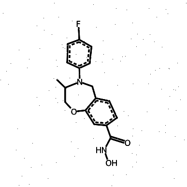 CC1COc2cc(C(=O)NO)ccc2CN1c1ccc(F)cc1